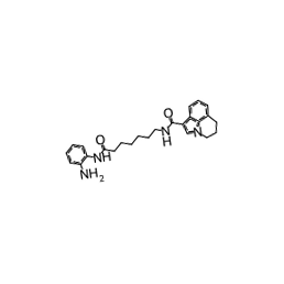 Nc1ccccc1NC(=O)CCCCCCNC(=O)c1cn2c3c(cccc13)CCC2